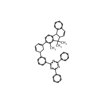 Cc1c(C2=CC=CC(c3cccc(-c4nc(-c5ccccc5)nc(-c5ccccc5)n4)c3)C2)ccc2c1C(C)(C)C1C=Cc3ccccc3C21